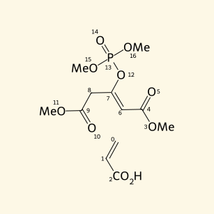 C=CC(=O)O.COC(=O)/C=C(/CC(=O)OC)OP(=O)(OC)OC